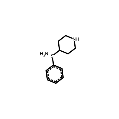 N.c1ccc(SC2CCNCC2)cc1